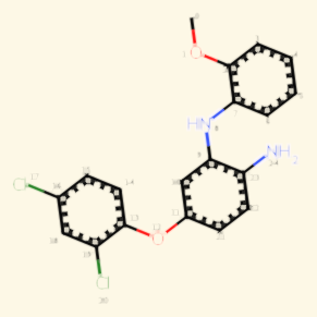 COc1ccccc1Nc1cc(Oc2ccc(Cl)cc2Cl)ccc1N